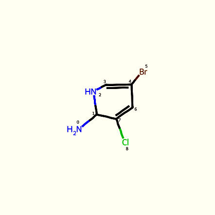 NC1NC=C(Br)C=C1Cl